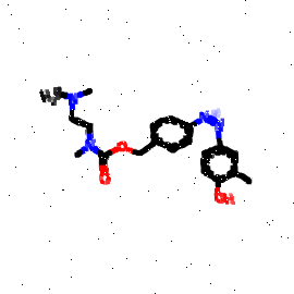 BN(C)CCN(C)C(=O)OCc1ccc(/N=N\c2ccc(O)c(C)c2)cc1